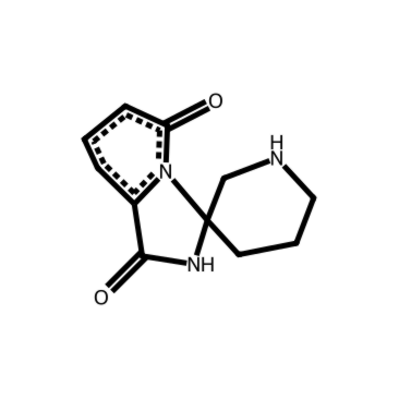 O=C1NC2(CCCNC2)n2c1cccc2=O